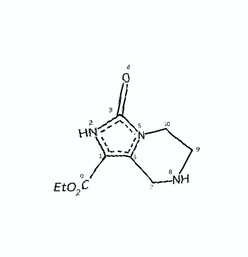 CCOC(=O)c1[nH]c(=O)n2c1CNCC2